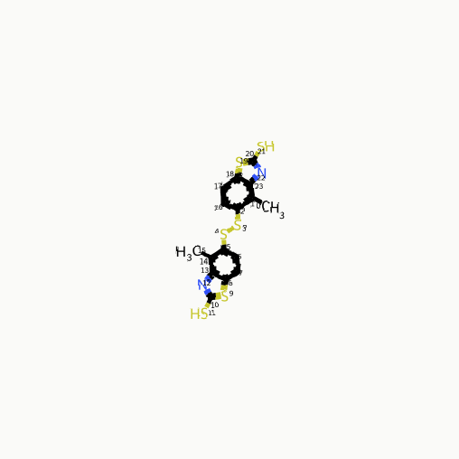 Cc1c(SSc2ccc3sc(S)nc3c2C)ccc2sc(S)nc12